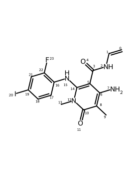 C=CNC(=O)c1c(N)c(C)c(=O)n(C)c1Nc1ccc(I)cc1F